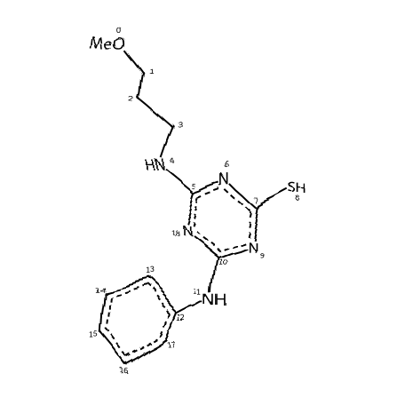 COCCCNc1nc(S)nc(Nc2ccccc2)n1